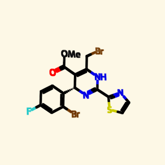 COC(=O)C1=C(CBr)NC(c2nccs2)=N[C@@H]1c1ccc(F)cc1Br